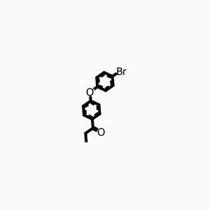 CCC(=O)c1ccc(Oc2ccc(Br)cc2)cc1